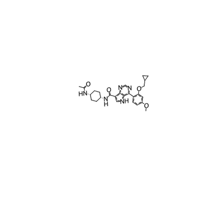 COc1ccc(-c2ncnc3c(C(=O)N[C@H]4CC[C@@H](NC(C)=O)CC4)c[nH]c23)c(OCC2CC2)c1